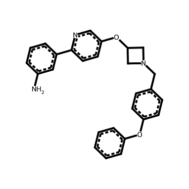 Nc1cccc(-c2ccc(OC3CN(Cc4ccc(Oc5ccccc5)cc4)C3)cn2)c1